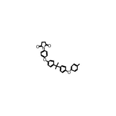 Cc1ccc(Oc2ccc(C(C)(C)c3ccc(Oc4ccc(N5C(=O)CCC5=O)cc4)cc3)cc2)cc1